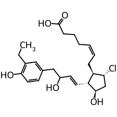 CCc1cc(CC(O)/C=C/[C@@H]2[C@@H](C/C=C\CCCC(=O)O)[C@H](Cl)C[C@H]2O)ccc1O